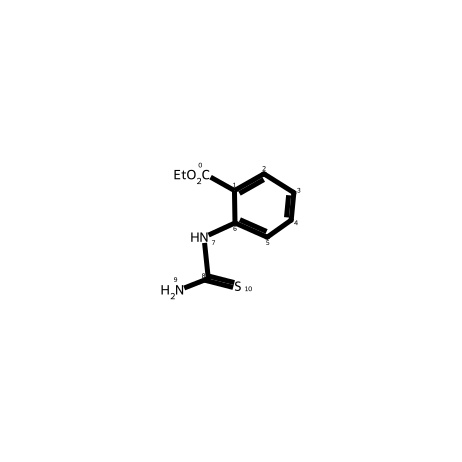 CCOC(=O)c1ccccc1NC(N)=S